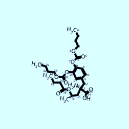 CCCCOC(=O)Oc1ccc(C[C@](N)(C[C@H](C)OC(=O)CCC)C(=O)O)cc1OC(=O)OCCCC